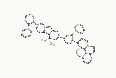 CC1(C)C=C(c2ccc(-c3ccc4ccc5cccc6ccc3c4c56)c(-c3ccccc3)c2)C=C2C=c3cc4c5ccccc5c5ccccc5c4cc3=C21